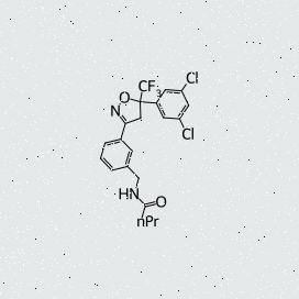 CCCC(=O)NCc1cccc(C2=NOC(c3cc(Cl)cc(Cl)c3)(C(F)(F)F)C2)c1